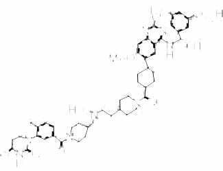 COc1cc2nc(C)nc(N[C@H](C)c3cc(C(=O)O)cc(C(F)(F)F)c3)c2cc1C1CCC(C(=O)N2CCC(CCN(C)CC3CCN(C(=O)c4ccc(Cl)c(N5CCC(=O)NC5=O)c4)CC3)CC2)CC1